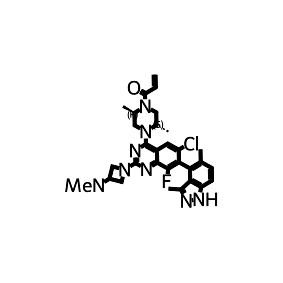 C=CC(=O)N1C[C@H](C)N(c2nc(N3CC(NC)C3)nc3c(F)c(-c4c(C)ccc5[nH]nc(C)c45)c(Cl)cc23)C[C@H]1C